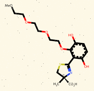 COCCOCCOCCOc1c(O)ccc(O)c1C1=N[C@@](C)(C(=O)O)CS1